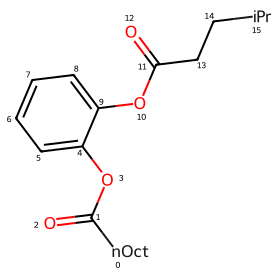 CCCCCCCCC(=O)Oc1ccccc1OC(=O)CCC(C)C